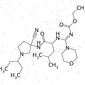 CCOC(=O)/N=C(\NC(CC(C)C)C(=O)NC1(C#N)CCN(C(CC)CC)C1)N1CCOCC1